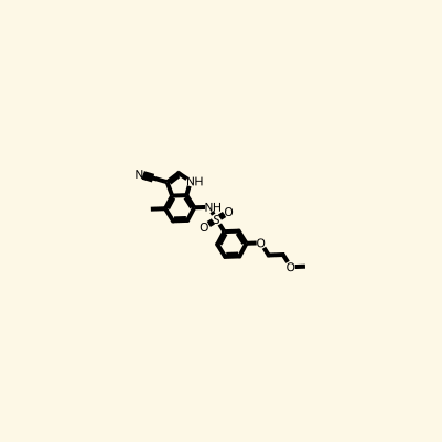 COCCOc1cccc(S(=O)(=O)Nc2ccc(C)c3c(C#N)c[nH]c23)c1